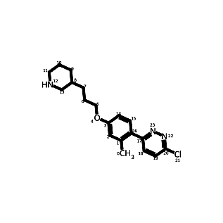 Cc1cc(OCCCC2CCCNC2)ccc1-c1ccc(Cl)nn1